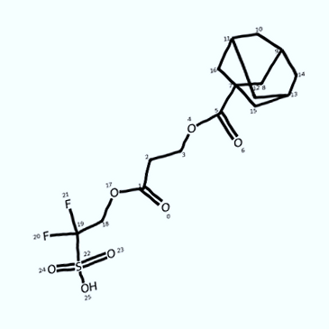 O=C(CCOC(=O)C12CC3CC(CC(C3)C1)C2)OCC(F)(F)S(=O)(=O)O